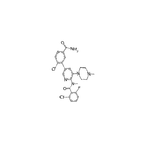 CN1CCN(c2cc(-c3cc(C(N)=O)ccc3Cl)cnc2N(C)C(=O)c2c(F)cccc2Cl)CC1